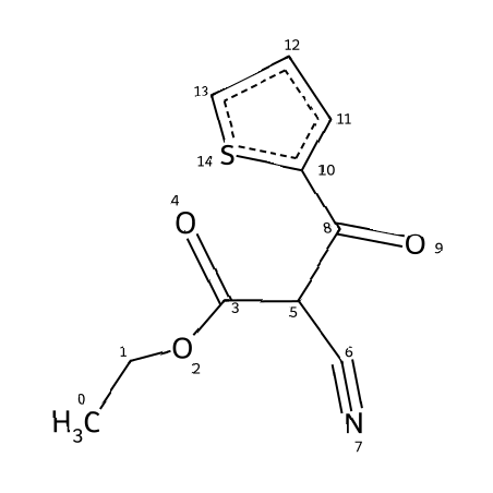 CCOC(=O)C(C#N)C(=O)c1cccs1